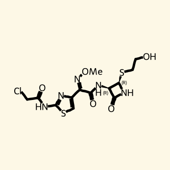 CON=C(C(=O)N[C@@H]1C(=O)N[C@@H]1SCCO)c1csc(NC(=O)CCl)n1